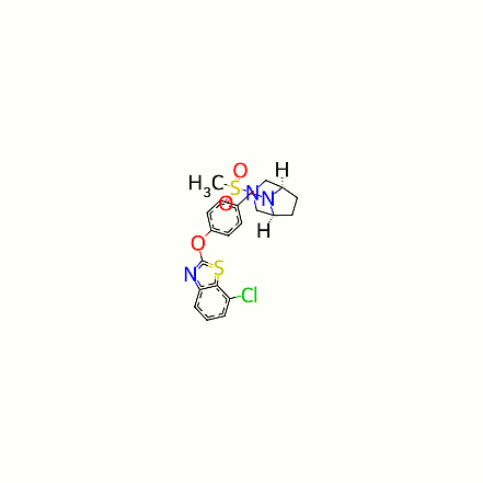 CS(=O)(=O)N1C[C@H]2CC[C@@H](C1)N2Cc1ccc(Oc2nc3cccc(Cl)c3s2)cc1